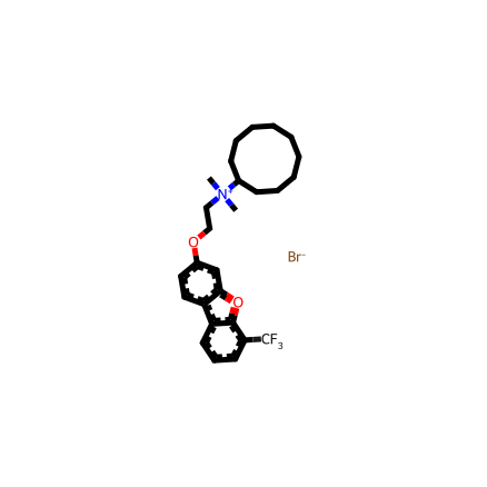 C[N+](C)(CCOc1ccc2c(c1)oc1c(C(F)(F)F)cccc12)C1CCCCCCCCC1.[Br-]